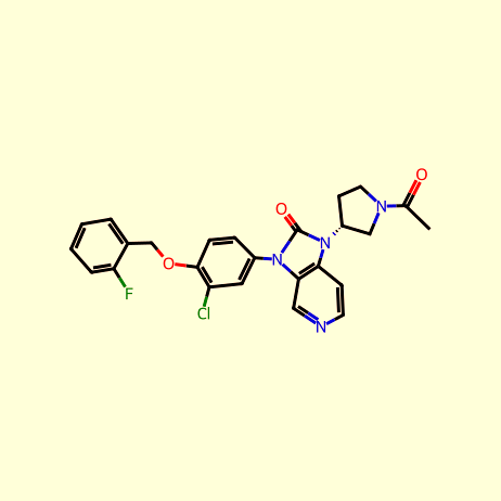 CC(=O)N1CC[C@@H](n2c(=O)n(-c3ccc(OCc4ccccc4F)c(Cl)c3)c3cnccc32)C1